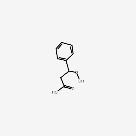 O=C(O)CC(OO)c1ccccc1